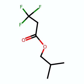 CC(C)COC(=O)CC(F)(F)F